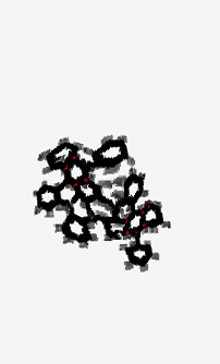 Fc1ccccc1-c1ccccc1N1c2ccccc2B2c3ccc(N(c4ccccc4)c4ccccc4)cc3N(c3ccccc3-c3ccccc3F)c3cc(N(c4ccccc4)c4ccccc4)cc1c32